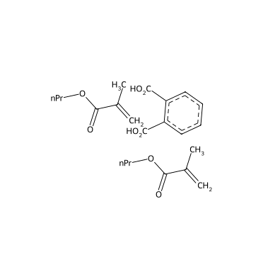 C=C(C)C(=O)OCCC.C=C(C)C(=O)OCCC.O=C(O)c1ccccc1C(=O)O